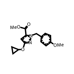 COC(=O)c1cc(OC2CC2)nn1Cc1ccc(OC)cc1